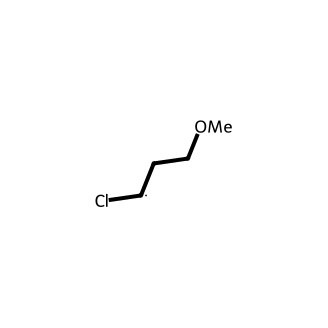 COCC[CH]Cl